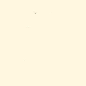 Clc1nc(-c2ccc3c(c2)oc2ccccc23)c2sc3ccccc3c2n1